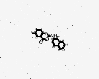 Cc1ccc2nc(Nc3ccc4ccccc4c3)oc(=O)c2c1